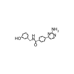 Nc1nccc(-c2ccc(C(=O)NCc3cccc(O)c3)cc2)n1